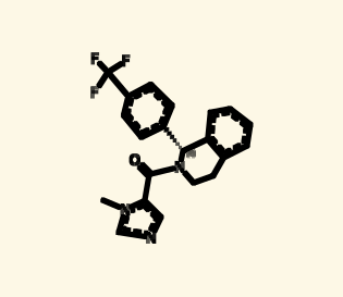 Cn1cncc1C(=O)N1CCc2ccccc2[C@H]1c1ccc(C(F)(F)F)cc1